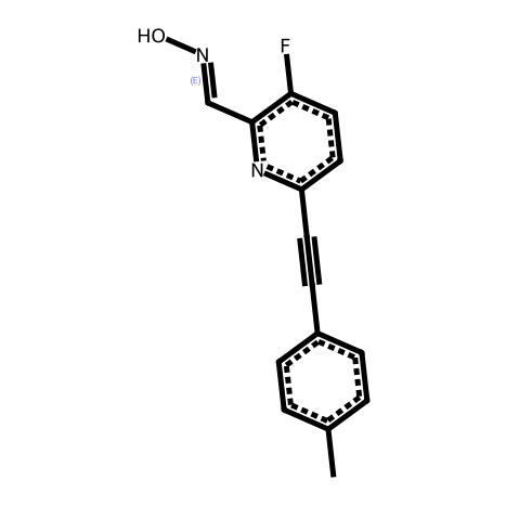 Cc1ccc(C#Cc2ccc(F)c(/C=N/O)n2)cc1